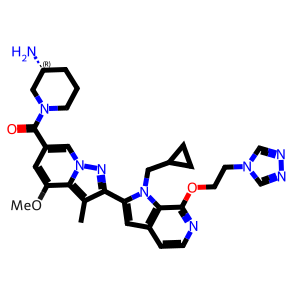 COc1cc(C(=O)N2CCC[C@@H](N)C2)cn2nc(-c3cc4ccnc(OCCn5cnnc5)c4n3CC3CC3)c(C)c12